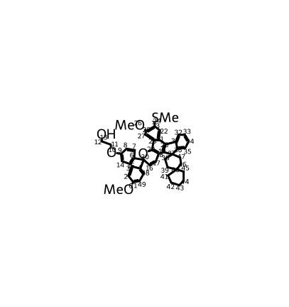 COc1ccc(C2(c3ccc(OCCO)cc3)C=Cc3c4c(c5cc(SC)c(OC)cc5c3O2)-c2ccccc2C42CCC3(CCCCC3)CC2)cc1